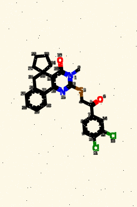 Cn1c(SCC(=O)c2ccc(Cl)c(Cl)c2)nc2c(c1=O)C1(CCCC1)Cc1ccccc1-2